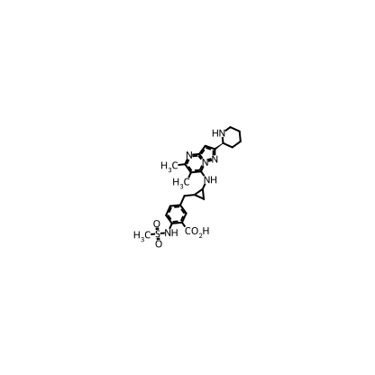 Cc1nc2cc([C@@H]3CCCCN3)nn2c(NC2CC2Cc2ccc(NS(C)(=O)=O)c(C(=O)O)c2)c1C